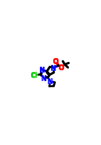 CC(C)(C)OC(=O)N1Cc2nc(Cl)nc(N3CCC3)c2C1